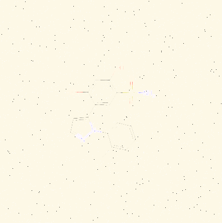 Cc1ccccc1-n1nccc1-c1cc(S(N)(=O)=O)c(O)cc1O